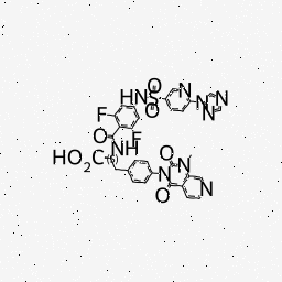 Cn1c(=O)n(-c2ccc(C[C@H](NC(=O)c3c(F)cc(NS(=O)(=O)c4ccc(-n5cncn5)nc4)cc3F)C(=O)O)cc2)c(=O)c2ccncc21